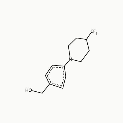 OCc1ccc(N2CCC(C(F)(F)F)CC2)cc1